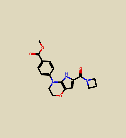 COC(=O)c1ccc(N2CCOc3cc(C(=O)N4CCC4)[nH]c32)cc1